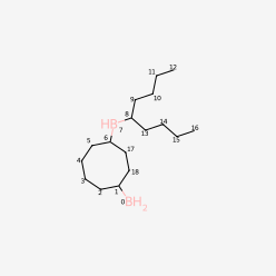 BC1CCCCC(BC(CCCC)CCCC)CC1